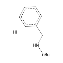 CCCCNCc1ccccc1.I